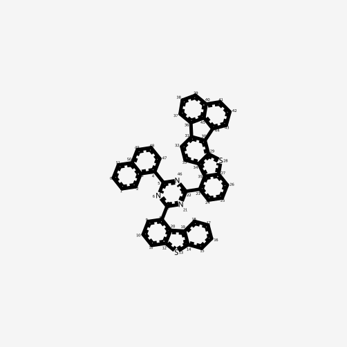 c1ccc2c(-c3nc(-c4cccc5sc6ccccc6c45)nc(-c4cccc5sc6c7c(ccc6c45)-c4cccc5cccc-7c45)n3)cccc2c1